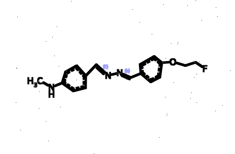 CNc1ccc(/C=N/N=C/c2ccc(OCCF)cc2)cc1